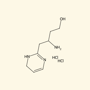 Cl.Cl.NC(CCO)CC1=NC=CCN1